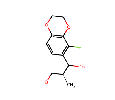 C[C@H](CO)C(O)c1ccc2c(c1F)OCCO2